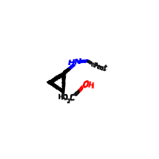 CCCCCNC1CC1.O=C(O)O